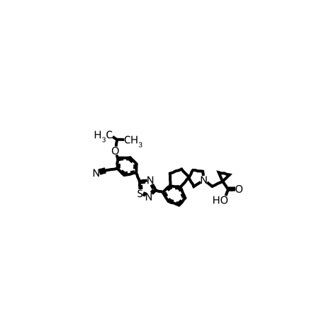 CC(C)Oc1ccc(-c2nc(-c3cccc4c3CCC43CCN(CC4(C(=O)O)CC4)C3)ns2)cc1C#N